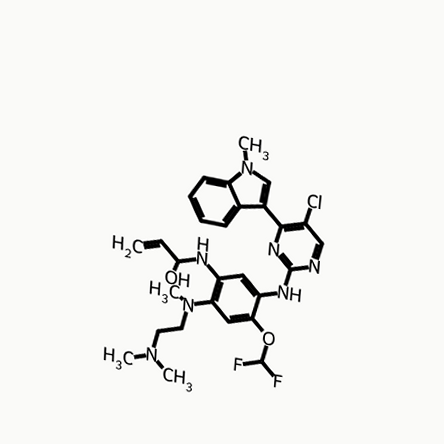 C=CC(O)Nc1cc(Nc2ncc(Cl)c(-c3cn(C)c4ccccc34)n2)c(OC(F)F)cc1N(C)CCN(C)C